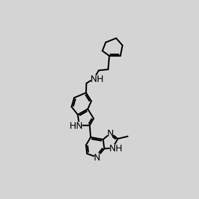 Cc1nc2c(-c3cc4cc(CNCCC5=CCCCC5)ccc4[nH]3)ccnc2[nH]1